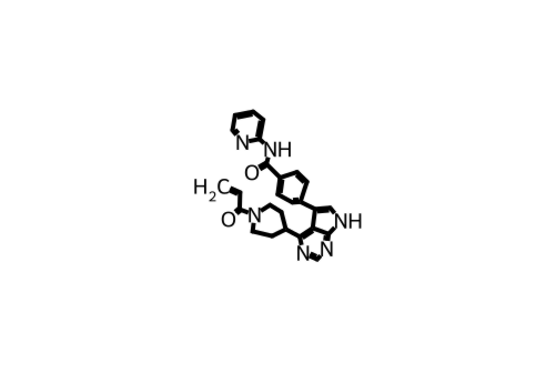 C=CC(=O)N1CCC(c2ncnc3[nH]cc(-c4ccc(C(=O)Nc5ccccn5)cc4)c23)CC1